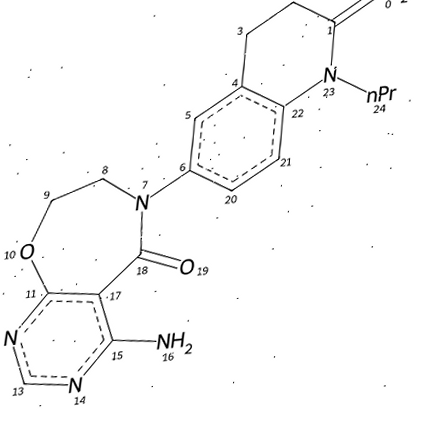 C=C1CCc2cc(N3CCOc4ncnc(N)c4C3=O)ccc2N1CCC